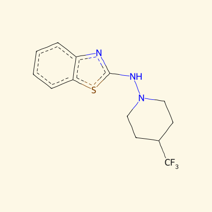 FC(F)(F)C1CCN(Nc2nc3ccccc3s2)CC1